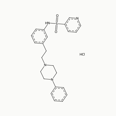 Cl.O=S(=O)(Nc1cccc(CCN2CCN(c3ccccc3)CC2)c1)c1cccnc1